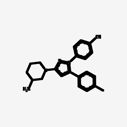 Cc1ccc(-c2cc(N3CCCC(N)C3)nn2-c2ccc(C#N)cc2)cc1